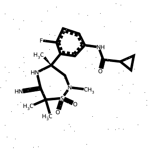 CN1C[C@@](C)(c2cc(NC(=O)C3CC3)ccc2F)NC(=N)C(C)(C)S1(=O)=O